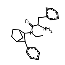 CCN(C(=O)C(N)Cc1ccccc1)C1C2CCC(C2)C1c1ccccc1